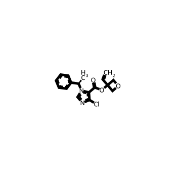 C=CC1(OC(=O)c2c(Cl)ncn2[C@H](C)c2ccccc2)COC1